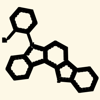 Brc1ccccc1-n1c2ccccc2c2c3sc4ccccc4c3ccc21